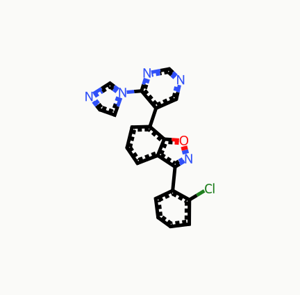 Clc1ccccc1-c1noc2c(-c3cncnc3-n3ccnc3)cccc12